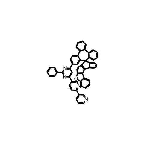 c1ccc(-c2nc(-c3ccc(-c4cccnc4)nc3)cc(-c3ccc4c(c3)C3(c5ccccc5-c5ccccc5-4)c4ccccc4-c4c3ccc3oc5ccccc5c43)n2)cc1